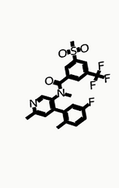 Cc1cc(-c2cc(F)ccc2C)c(N(C)C(=O)c2cc(C(F)(F)F)cc(S(C)(=O)=O)c2)cn1